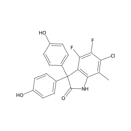 Cc1c(Cl)c(F)c(F)c2c1NC(=O)C2(c1ccc(O)cc1)c1ccc(O)cc1